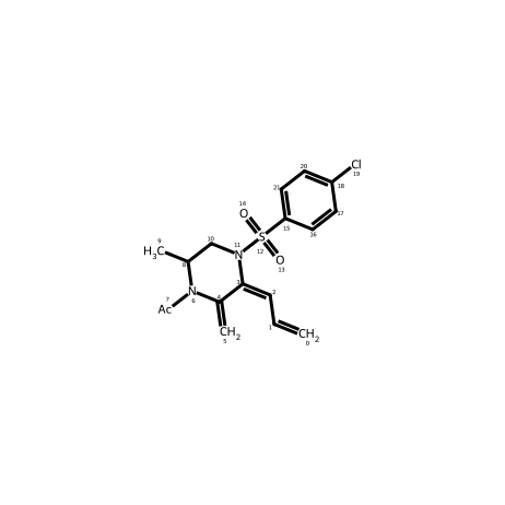 C=C/C=C1\C(=C)N(C(C)=O)C(C)CN1S(=O)(=O)c1ccc(Cl)cc1